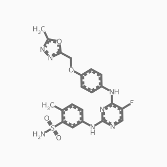 Cc1nnc(COc2ccc(Nc3nc(Nc4ccc(C)c(S(N)(=O)=O)c4)ncc3F)cc2)o1